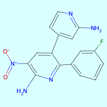 Nc1cc(-c2cc([N+](=O)[O-])c(N)nc2-c2cccc(F)c2)ccn1